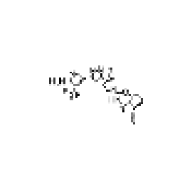 C[C@@H](NC(=O)N1CCC2(C1)OCCn1nc(-c3cnc(N)c(C(F)(F)F)c3)cc12)c1ncccc1C#N